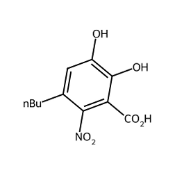 CCCCc1cc(O)c(O)c(C(=O)O)c1[N+](=O)[O-]